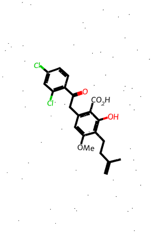 C=C(C)CCc1c(OC)cc(CC(=O)c2ccc(Cl)cc2Cl)c(C(=O)O)c1O